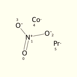 O=[N+]([O-])[O-].[Co].[Pr]